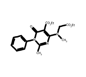 CCOC(=O)CN(C)c1nc(C)n(-c2ccccc2)c(=O)c1C(=O)OCC